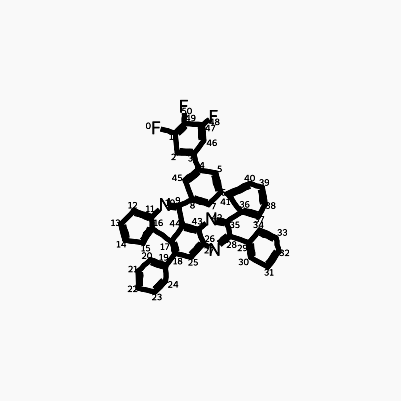 Fc1cc(-c2cccc(-c3nc4ccccc4c4c(-c5ccccc5)cc5nc(-c6ccccc6)c(-c6ccccc6)nc5c34)c2)cc(F)c1F